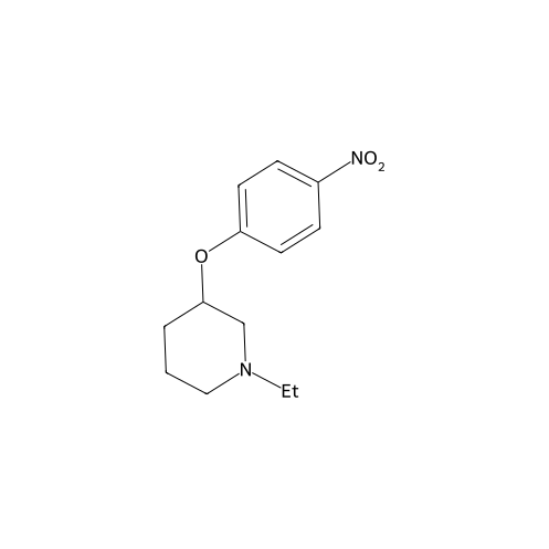 CCN1CCCC(Oc2ccc([N+](=O)[O-])cc2)C1